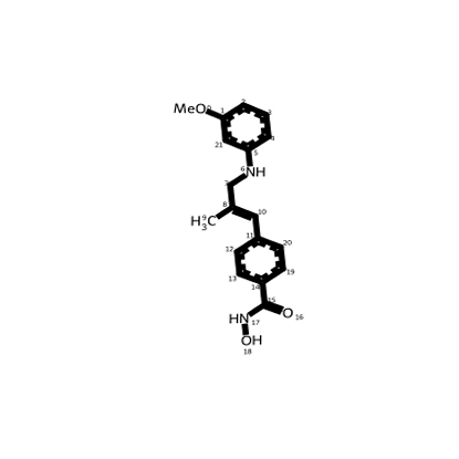 COc1cccc(NCC(C)=Cc2ccc(C(=O)NO)cc2)c1